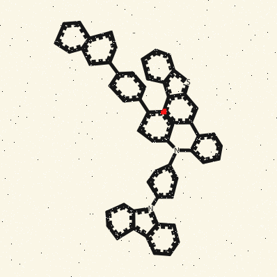 c1ccc(N(c2ccc(-c3ccc(-c4ccc5ccccc5c4)cc3)cc2)c2ccc(-n3c4ccccc4c4ccccc43)cc2)c(-c2ccc3c(c2)sc2ccccc23)c1